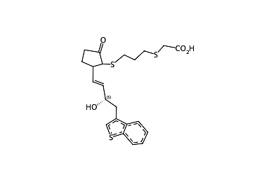 O=C(O)CSCCCSC1C(=O)CCC1C=C[C@@H](O)Cc1csc2ccccc12